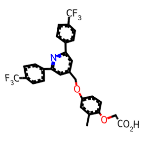 Cc1cc(OCc2cc(-c3ccc(C(F)(F)F)cc3)nc(-c3ccc(C(F)(F)F)cc3)c2)ccc1OCC(=O)O